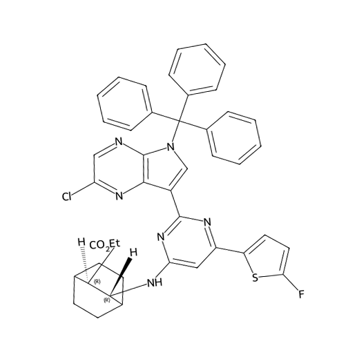 CCOC(=O)[C@@H]1C2CCC(CC2)[C@H]1Nc1cc(-c2ccc(F)s2)nc(-c2cn(C(c3ccccc3)(c3ccccc3)c3ccccc3)c3ncc(Cl)nc23)n1